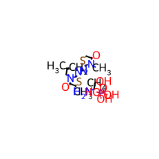 C.C=C(C)CN1C(=O)C(C)SC1=NN=C1SCC(=O)N1C.NCCO.O=P(O)(O)O